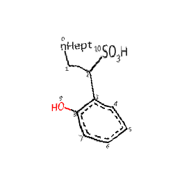 CCCCCCCCC(c1ccccc1O)S(=O)(=O)O